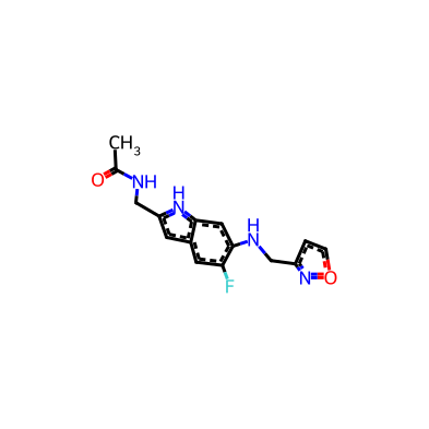 CC(=O)NCc1cc2cc(F)c(NCc3ccon3)cc2[nH]1